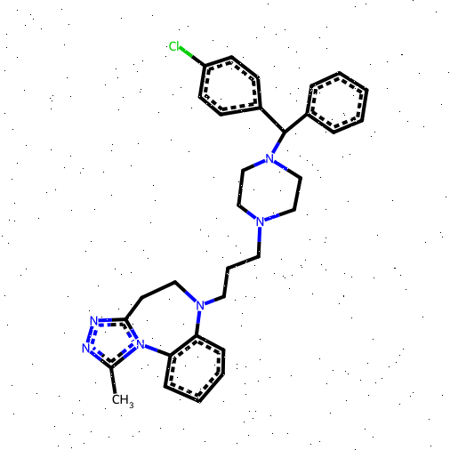 Cc1nnc2n1-c1ccccc1N(CCCN1CCN(C(c3ccccc3)c3ccc(Cl)cc3)CC1)CC2